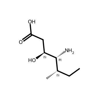 CC[C@H](C)[C@@H](N)[C@@H](O)CC(=O)O